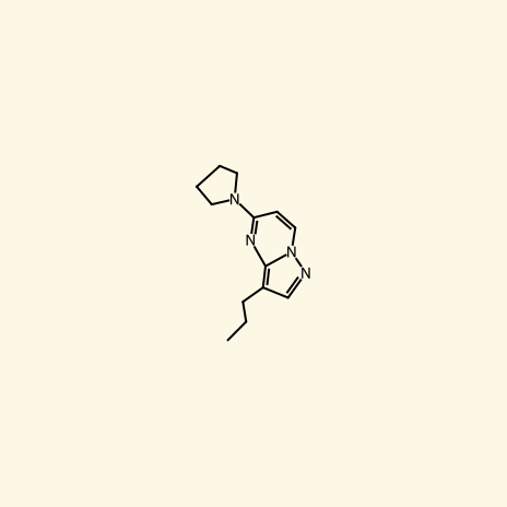 CCCc1cnn2ccc(N3CCCC3)nc12